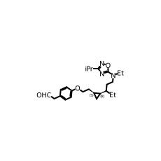 CCC(CCN(CC)c1nc(C(C)C)no1)[C@H]1C[C@H]1CCOc1ccc(CC=O)cc1